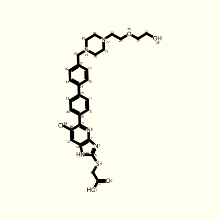 O=C(O)CSc1nc2nc(-c3ccc(-c4ccc(CN5CCN(CCOCCO)CC5)cc4)cc3)c(Cl)cc2[nH]1